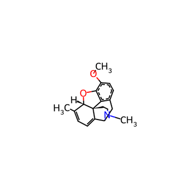 COc1ccc2c3c1O[C@H]1C(C)=CC=C4C(C2)N(C)CC[C@]431